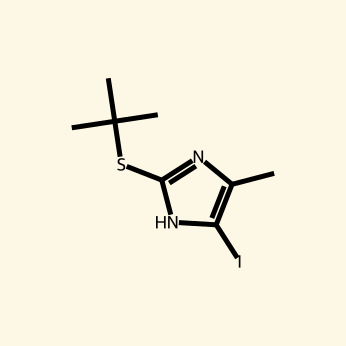 Cc1nc(SC(C)(C)C)[nH]c1I